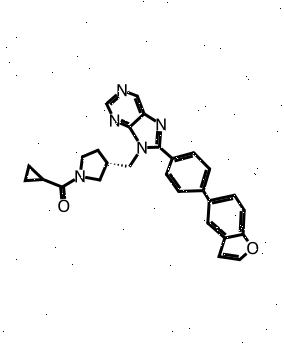 O=C(C1CC1)N1CC[C@H](Cn2c(-c3ccc(-c4ccc5occc5c4)cc3)nc3cncnc32)C1